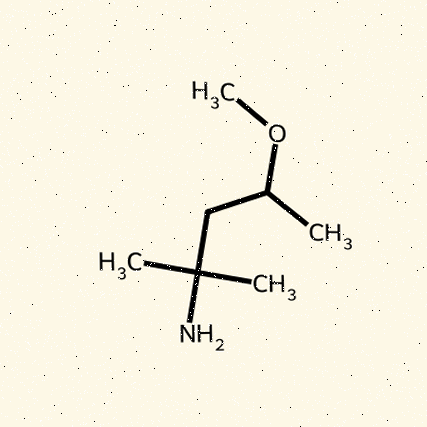 COC(C)CC(C)(C)N